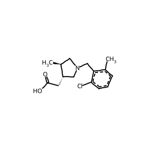 Cc1cccc(Cl)c1CN1C[C@H](CC(=O)O)[C@@H](C)C1